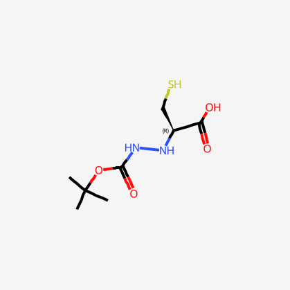 CC(C)(C)OC(=O)NN[C@@H](CS)C(=O)O